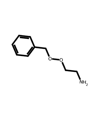 NCCOOCc1ccccc1